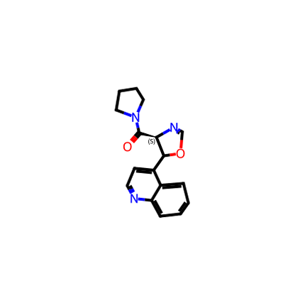 O=C([C@H]1N=COC1c1ccnc2ccccc12)N1CCCC1